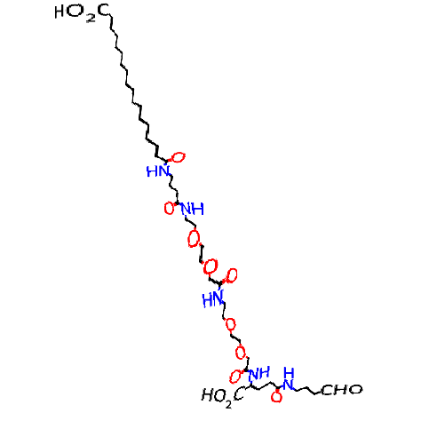 O=CCCCNC(=O)CCC(NC(=O)COCCOCCNC(=O)COCCOCCNC(=O)CCCNC(=O)CCCCCCCCCCCCCCCCC(=O)O)C(=O)O